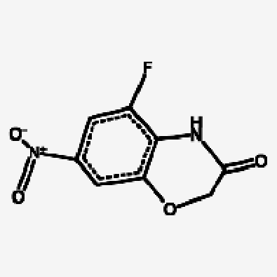 O=C1COc2cc([N+](=O)[O-])cc(F)c2N1